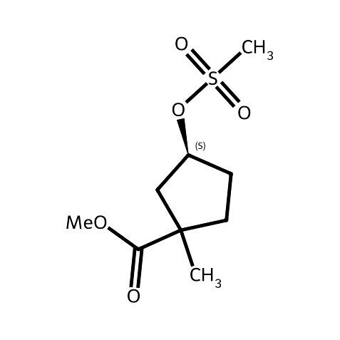 COC(=O)C1(C)CC[C@H](OS(C)(=O)=O)C1